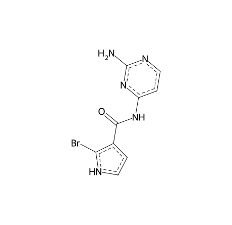 Nc1nccc(NC(=O)c2cc[nH]c2Br)n1